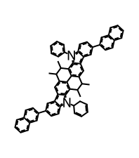 CC1c2cc3c4cc(-c5ccc6ccccc6c5)ccc4n(C4C=CC=CC4)c3c3c2-c2c(cc4c5cc(-c6ccc7ccccc7c6)ccc5n(-c5ccccc5)c4c2C1C)C(C)C3C